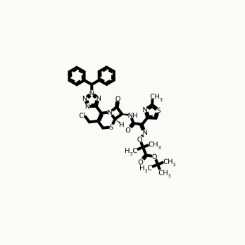 Cc1nc(/C(=N/OC(C)(C)C(=O)OC(C)(C)C)C(=O)N[C@@H]2C(=O)N3C(c4nnn(C(c5ccccc5)c5ccccc5)n4)=C(CCl)CS[C@H]23)cs1